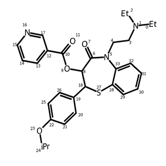 CCN(CC)CCN1C(=O)C(OC(=O)c2cccnc2)C(c2ccc(OC(C)C)cc2)Sc2ccccc21